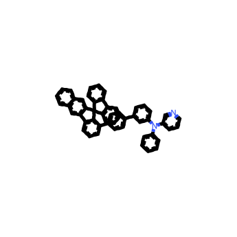 c1ccc(N(c2cccnc2)c2cccc(-c3ccc(-c4cccc5c4C4(c6ccccc6-c6ccccc64)c4cc6ccccc6cc4-5)cc3)c2)cc1